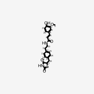 COc1cc(C=CC(=O)NCCc2ccc(CC3SC(=O)NC3=O)cc2)ccc1O